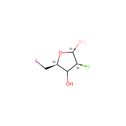 B[C@@H]1O[C@H](CI)C(O)[C@@H]1F